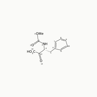 COC(=O)N[C@H](Cc1ccccc1)C(=O)C(=O)O